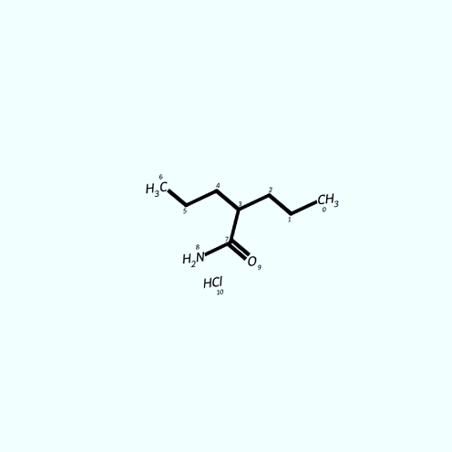 CCCC(CCC)C(N)=O.Cl